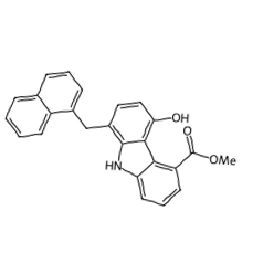 COC(=O)c1cccc2[nH]c3c(Cc4cccc5ccccc45)ccc(O)c3c12